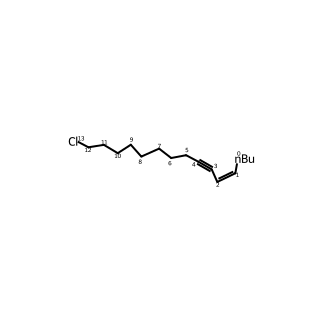 CCCC/C=C\C#CCCCCCCCCCl